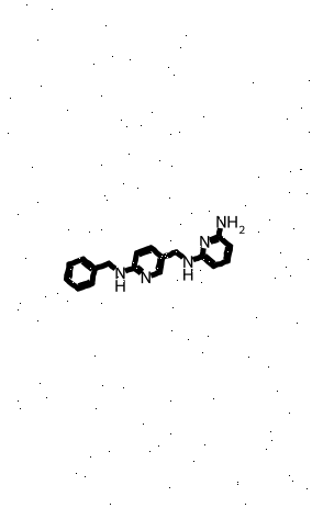 Nc1cccc(NCc2ccc(NCc3ccccc3)nc2)n1